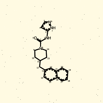 O=C(Nc1ccn[nH]1)N1CCC(Cc2ccc3ccccc3c2)CC1